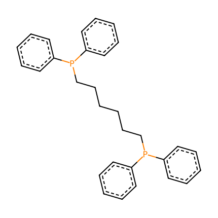 c1ccc(P(CCCCCCP(c2ccccc2)c2ccccc2)c2ccccc2)cc1